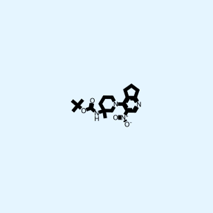 CC1(NC(=O)OC(C)(C)C)CCCN(c2c([N+](=O)[O-])cnc3c2CCC3)C1